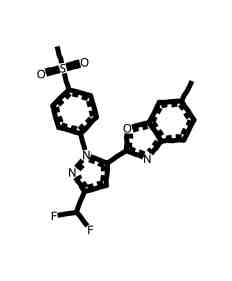 Cc1ccc2nc(-c3cc(C(F)F)nn3-c3ccc(S(C)(=O)=O)cc3)oc2c1